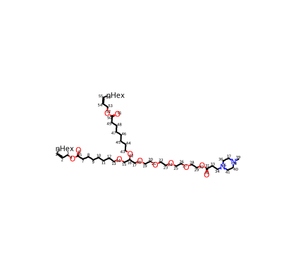 CCCCCC/C=C\COC(=O)CCCCCCCOCC(COCCOCCOCCOCCOC(=O)CCN1CCN(C)CC1)OCCCCCCCC(=O)OC/C=C\CCCCCC